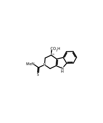 CNC(=S)N1Cc2[nH]c3ccccc3c2[C@H](C(=O)O)C1